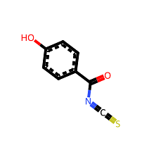 O=C(N=C=S)c1ccc(O)cc1